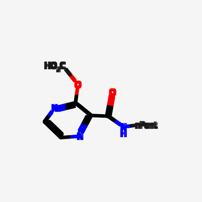 CCCCCNC(=O)c1nccnc1OC(=O)O